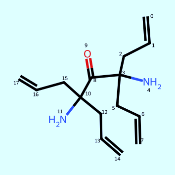 C=CCC(N)(CC=C)C(=O)C(N)(CC=C)CC=C